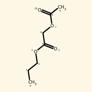 CCCOC(=O)COC(C)=O